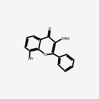 CCCc1cccc2c(=O)c(OC)c(-c3ccccc3)oc12